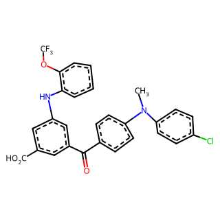 CN(c1ccc(Cl)cc1)c1ccc(C(=O)c2cc(Nc3ccccc3OC(F)(F)F)cc(C(=O)O)c2)cc1